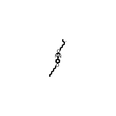 C=CCCCCCCOc1ccc(-c2ncc(OCCCCC[C@@H](C)CC)cn2)cc1